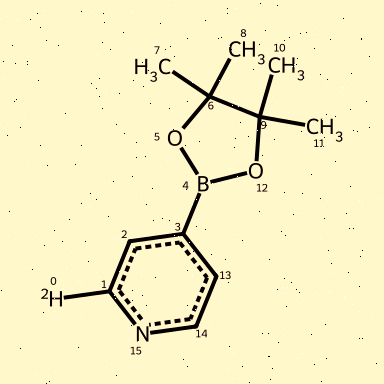 [2H]c1cc(B2OC(C)(C)C(C)(C)O2)ccn1